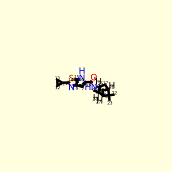 C[C@@H]1[C@@H](NC(=O)c2cc3nc(C4CC4)sc3[nH]2)C[C@H]2C[C@@H]1C2(C)C